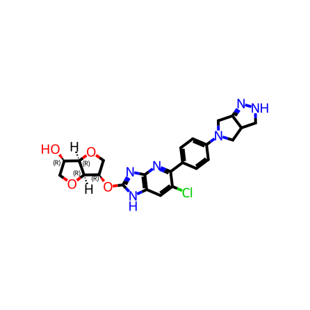 O[C@@H]1CO[C@H]2[C@@H]1OC[C@H]2Oc1nc2nc(-c3ccc(N4CC5=NNCC5C4)cc3)c(Cl)cc2[nH]1